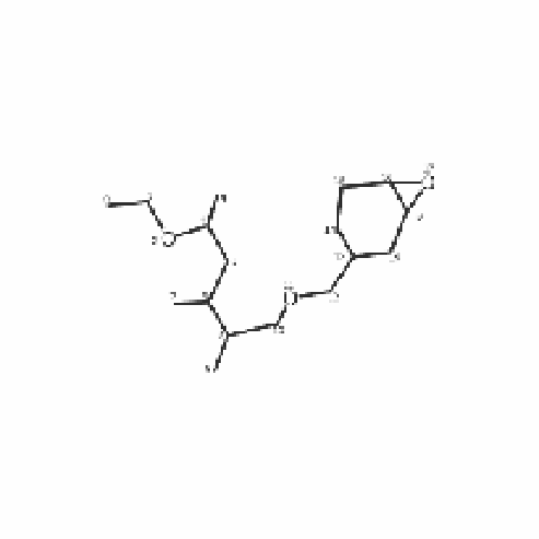 CCOC(C)CC(C)C(C)COCC1CCC2OC2C1